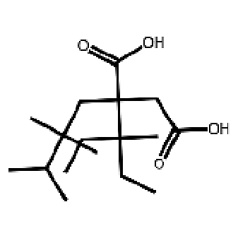 CCC(C)(CC)C(CC(=O)O)(CC(C)(C)C(C)C)C(=O)O